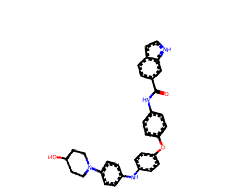 O=C(Nc1ccc(Oc2ccc(Nc3ccc(N4CCC(O)CC4)cc3)cc2)cc1)c1ccc2cc[nH]c2c1